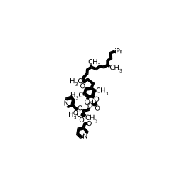 Cc1c(C)c2c(c(C)c1OC(=O)OCC(OC(=O)c1cccnc1)C(C)(C)OC(=O)c1cccnc1)CCC(C)(CCCC(C)CCCC(C)CCCC(C)C)O2